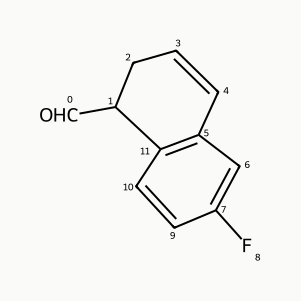 O=CC1CC=Cc2cc(F)ccc21